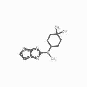 CN(c1nn2ccnc2s1)C1CCC(C)(O)CC1